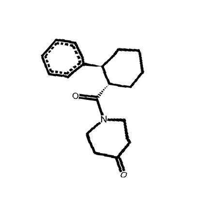 O=C1CCN(C(=O)[C@H]2CCCC[C@@H]2c2ccccc2)CC1